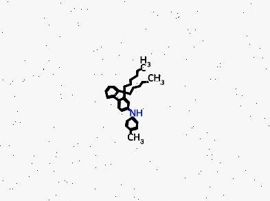 CCCCCCC1(CCCCCC)c2ccccc2-c2ccc(Nc3ccc(C)cc3)cc21